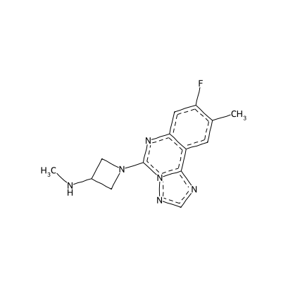 CNC1CN(c2nc3cc(F)c(C)cc3c3ncnn23)C1